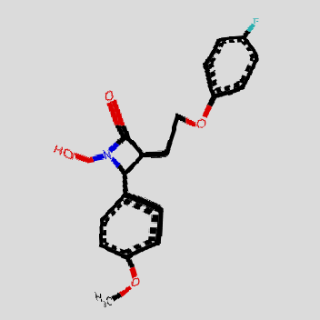 COc1ccc(C2C(CCOc3ccc(F)cc3)C(=O)N2O)cc1